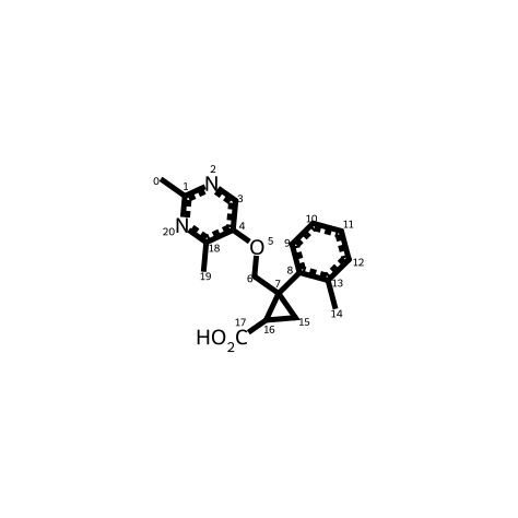 Cc1ncc(OCC2(c3ccccc3C)CC2C(=O)O)c(C)n1